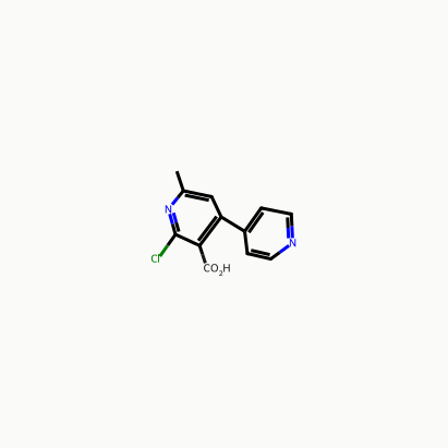 Cc1cc(-c2ccncc2)c(C(=O)O)c(Cl)n1